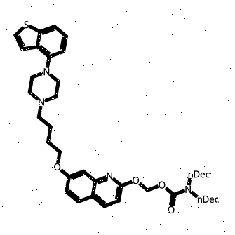 CCCCCCCCCCN(CCCCCCCCCC)C(=O)OCOc1ccc2ccc(OCCCCN3CCN(c4cccc5sccc45)CC3)cc2n1